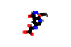 COc1ncc(NC(=O)C(=O)O)cc1C(N)=O